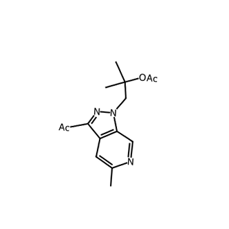 CC(=O)OC(C)(C)Cn1nc(C(C)=O)c2cc(C)ncc21